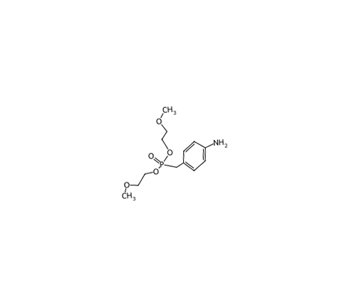 COCCOP(=O)(Cc1ccc(N)cc1)OCCOC